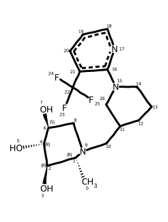 C[C@@H]1[C@@H](O)[C@H](O)[C@@H](O)CN1CC1CCCN(c2ncccc2C(F)(F)F)C1